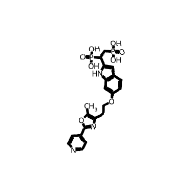 Cc1oc(-c2ccncc2)nc1CCOc1ccc2cc(C(CP(=O)(O)O)P(=O)(O)O)[nH]c2c1